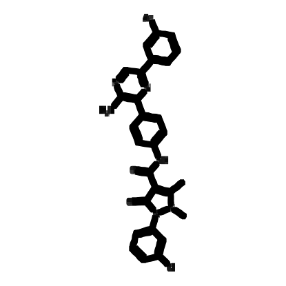 CC(=O)c1cccc(-c2cnc(N)c(-c3ccc(NC(=O)c4c(C)n(C)n(-c5cccc(Cl)c5)c4=O)cc3)n2)c1